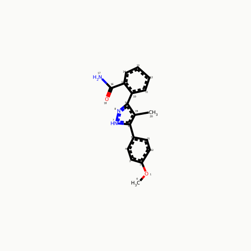 COc1ccc(-c2[nH]nc(-c3ccccc3C(N)=O)c2C)cc1